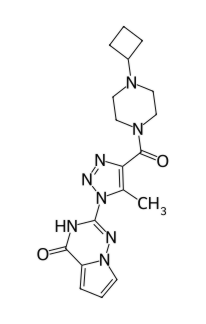 Cc1c(C(=O)N2CCN(C3CCC3)CC2)nnn1-c1nn2cccc2c(=O)[nH]1